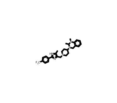 Cc1[nH]c(-c2ccc(C(F)(F)F)cc2)nc1CN1CCC(N2Cc3ccccc3N(C)C2C)CC1